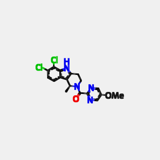 COc1cnc(C(=O)N2CCc3[nH]c4c(Cl)c(Cl)ccc4c3[C@@H]2C)nc1